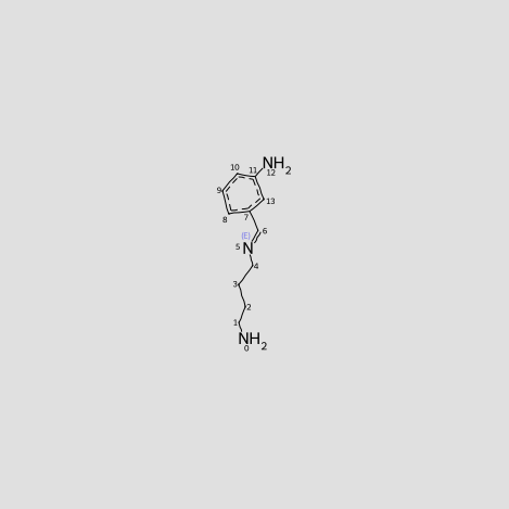 NCCCC/N=C/c1cccc(N)c1